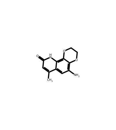 Cc1cc(=O)[nH]c2c3c(c(N)cc12)OCCO3